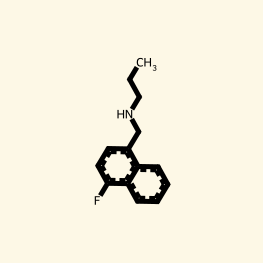 CCCNCc1ccc(F)c2ccccc12